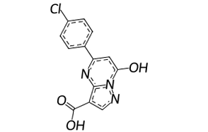 O=C(O)c1cnn2c(O)cc(-c3ccc(Cl)cc3)nc12